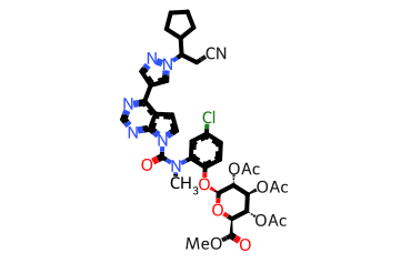 COC(=O)[C@H]1O[C@@H](Oc2ccc(Cl)cc2N(C)C(=O)n2ccc3c(-c4cnn(C(CC#N)C5CCCC5)c4)ncnc32)[C@H](OC(C)=O)[C@@H](OC(C)=O)[C@@H]1OC(C)=O